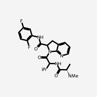 CN[C@@H](C)C(=O)NC(C(=O)N1c2ncccc2CC1C(=O)Nc1cc(F)ccc1F)C(C)C